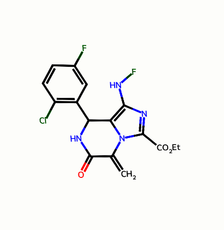 C=C1C(=O)NC(c2cc(F)ccc2Cl)c2c(NF)nc(C(=O)OCC)n21